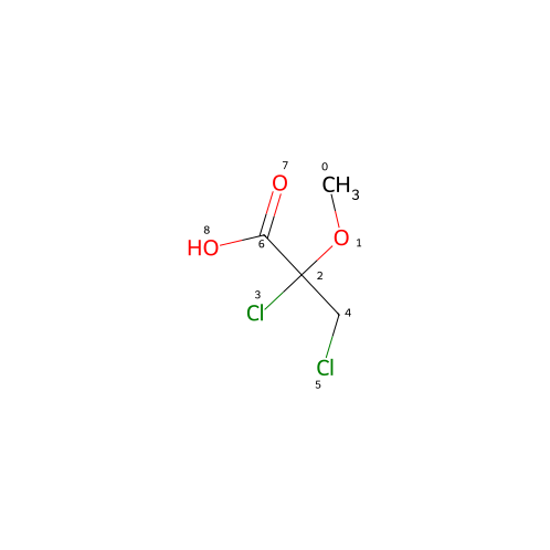 COC(Cl)(CCl)C(=O)O